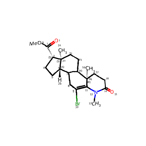 COC(=O)[C@H]1CC[C@H]2C3CC(Br)=C4N(C)C(=O)CC[C@]4(C)C3CC[C@]12C